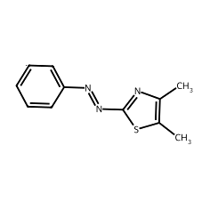 Cc1nc(N=Nc2c[c]ccc2)sc1C